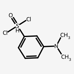 CN(C)c1cccc([SH](=O)(Cl)Cl)c1